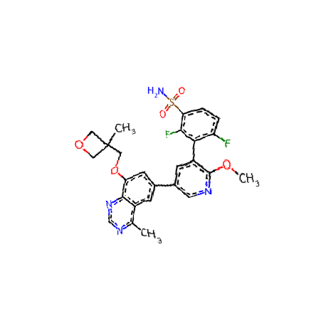 COc1ncc(-c2cc(OCC3(C)COC3)c3ncnc(C)c3c2)cc1-c1c(F)ccc(S(N)(=O)=O)c1F